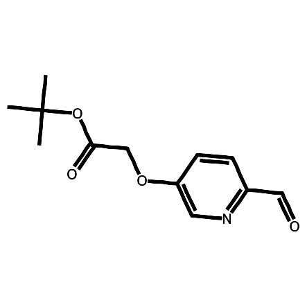 CC(C)(C)OC(=O)COc1ccc(C=O)nc1